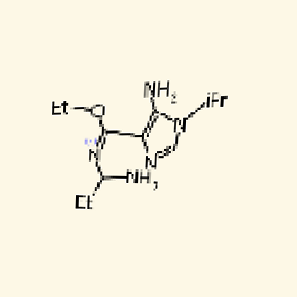 CCO/C(=N/C(N)CC)c1ncn(C(C)C)c1N